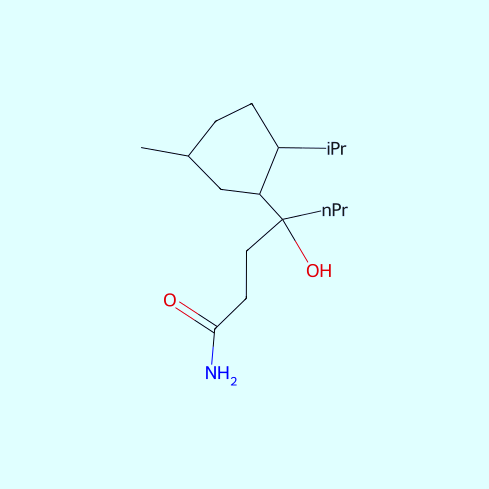 CCCC(O)(CCC(N)=O)C1CC(C)CCC1C(C)C